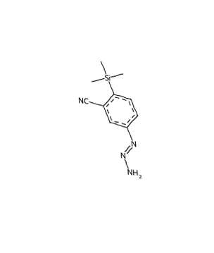 C[Si](C)(C)c1ccc(N=NN)cc1C#N